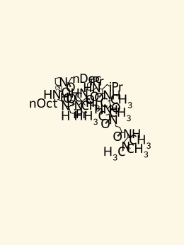 CCCCCCCCCCCC(=O)N1CCC[C@H]1C(=O)NC(CCCCCCCC)C(=O)NC(CC(C)C)C(=O)NC(C)(C)C(=O)NC(CC(C)C)C(=O)NC(CC(C)C)C(=O)NC(C)(C)C(=O)NC(C)(C)C(=O)NCCC(=O)NC(C)CN(C)C